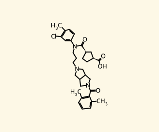 Cc1ccc(N(CCCN2CC3CN(C(=O)c4c(C)cccc4C)CC3C2)C(=O)[C@@H]2CC[C@H](C(=O)O)C2)cc1Cl